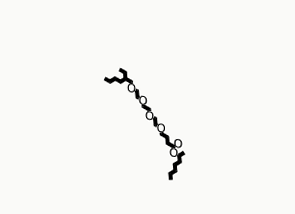 CCCCCC(C)OC(=O)CCCOCCOCCOCCOCC(CC)CCCC